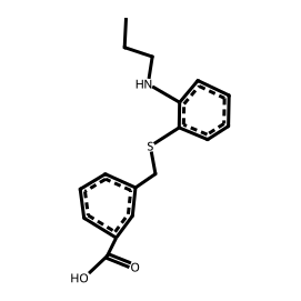 CCCNc1ccccc1SCc1cccc(C(=O)O)c1